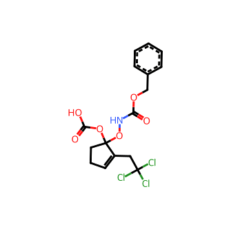 O=C(O)OC1(ONC(=O)OCc2ccccc2)CCC=C1CC(Cl)(Cl)Cl